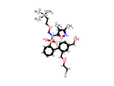 Cc1noc(N(COCC[Si](C)(C)C)S(=O)(=O)c2ccccc2-c2ccc(CO)cc2COCCF)c1C